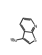 CC(C)(C)c1csc2ncccc12